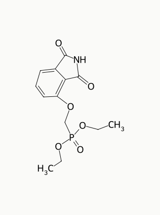 CCOP(=O)(COc1cccc2c1C(=O)NC2=O)OCC